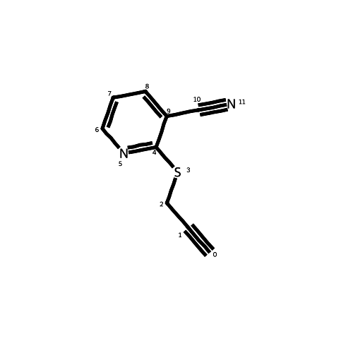 C#CCSc1ncccc1C#N